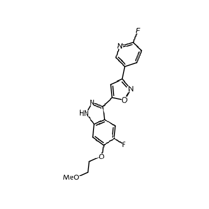 COCCOc1cc2[nH]nc(-c3cc(-c4ccc(F)nc4)no3)c2cc1F